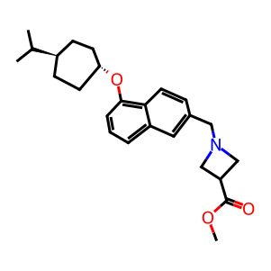 COC(=O)C1CN(Cc2ccc3c(O[C@H]4CC[C@H](C(C)C)CC4)cccc3c2)C1